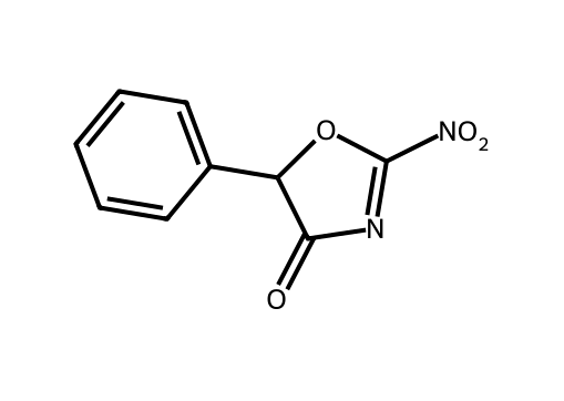 O=C1N=C([N+](=O)[O-])OC1c1ccccc1